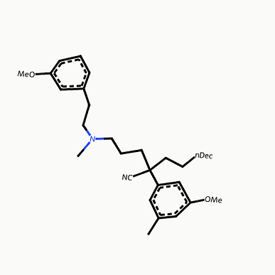 CCCCCCCCCCCCC(C#N)(CCCN(C)CCc1cccc(OC)c1)c1cc(C)cc(OC)c1